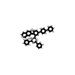 c1ccc(C2=NC(c3cc(-c4ccc(-c5ccccc5)cc4)cc4oc5cc6ccncc6cc5c34)NC(c3ccccc3)=N2)cc1